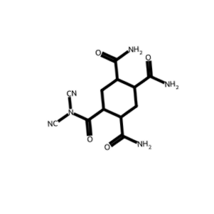 N#CN(C#N)C(=O)C1CC(C(N)=O)C(C(N)=O)CC1C(N)=O